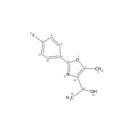 Cc1oc(-c2ccc(F)cc2)nc1C(C)O